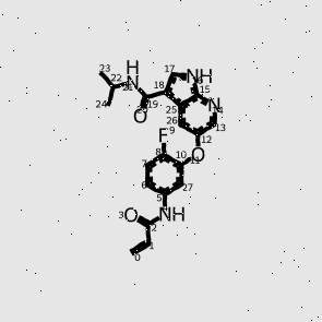 C=CC(=O)Nc1ccc(F)c(Oc2cnc3[nH]cc(C(=O)NC(C)C)c3c2)c1